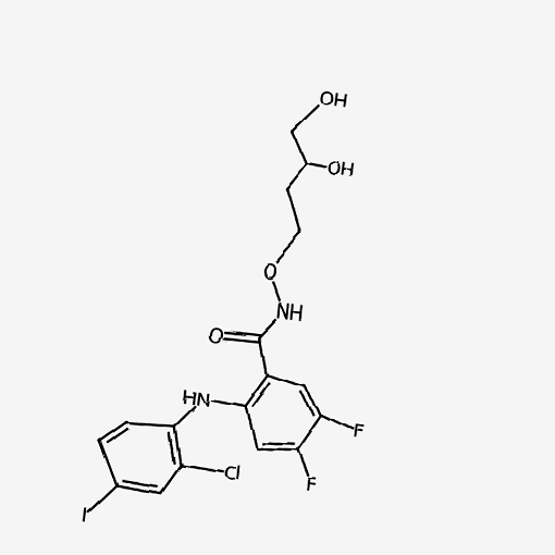 O=C(NOCCC(O)CO)c1cc(F)c(F)cc1Nc1ccc(I)cc1Cl